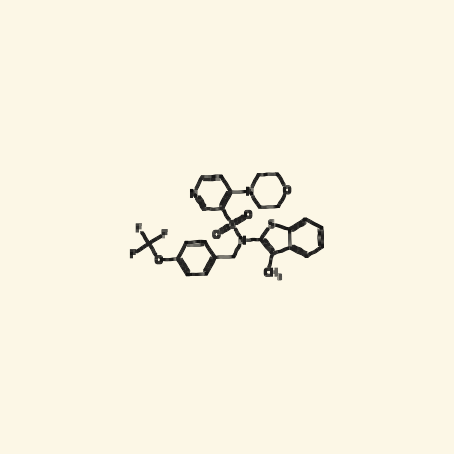 Cc1c(N(Cc2ccc(OC(F)(F)F)cc2)S(=O)(=O)c2cnccc2N2CCOCC2)sc2ccccc12